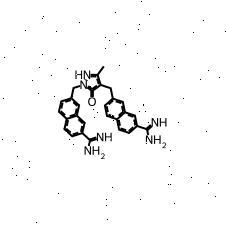 Cc1[nH]n(Cc2ccc3ccc(C(=N)N)cc3c2)c(=O)c1Cc1ccc2ccc(C(=N)N)cc2c1